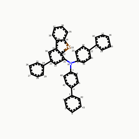 c1ccc(-c2ccc(N(c3ccc(-c4ccccc4)cc3)c3cc(-c4ccccc4)cc4c3sc3ccccc34)cc2)cc1